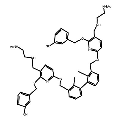 CC(=O)NCCNCc1ccc(OCc2cccc(-c3cccc(COc4ccc(CNCCNC(C)=O)c(OCc5cccc(C#N)c5)n4)c3C)c2C)nc1OCc1cccc(C#N)c1